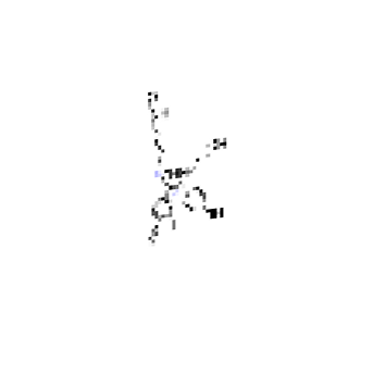 N#Cc1ccc(C(/C=C/CCCCCNC=O)=C(/NCCCO)C2=CCC(=N)C=C2)cc1F